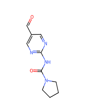 O=Cc1cnc(NC(=O)N2CCCC2)nc1